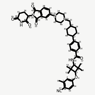 Cc1cc(OC2C(C)(C)C(NC(=O)c3ccc(C4CCC(CN5CCN(c6ccc7c(c6)C(=O)N(C6CCC(=O)NC6=O)C7=O)CC5)CC4)cc3)C2(C)C)ccc1C#N